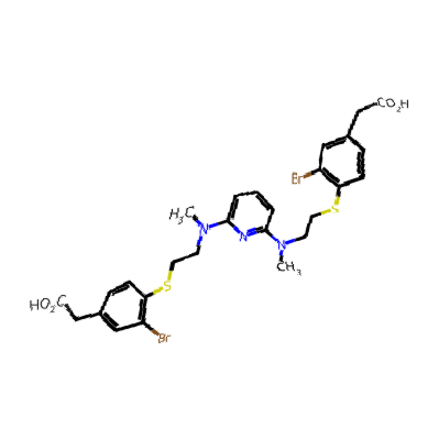 CN(CCSc1ccc(CC(=O)O)cc1Br)c1cccc(N(C)CCSc2ccc(CC(=O)O)cc2Br)n1